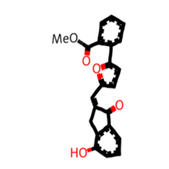 COC(=O)c1ccccc1-c1ccc(C=C2Cc3c(O)cccc3C2=O)o1